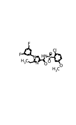 CCc1nc(C(=O)NS(=O)(=O)c2cc(OC)ccc2Cl)cn1-c1cc(F)cc(F)c1